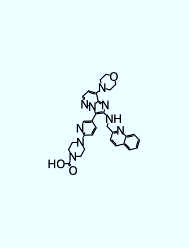 O=C(O)N1CCN(c2ccc(-c3c(NCc4ccc5ccccc5n4)nc4c(N5CCOCC5)ccnn34)cn2)CC1